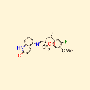 COc1ccc(C(C)CC(O)(/C=N/c2cccc3[nH]c(=O)ccc23)C(F)(F)F)cc1F